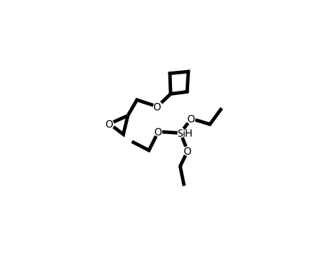 C1CC(OCC2CO2)C1.CCO[SiH](OCC)OCC